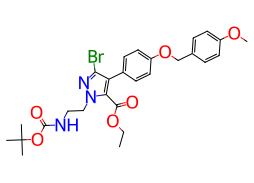 CCOC(=O)c1c(-c2ccc(OCc3ccc(OC)cc3)cc2)c(Br)nn1CCNC(=O)OC(C)(C)C